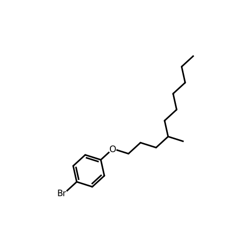 CCCCCCC(C)CCCOc1ccc(Br)cc1